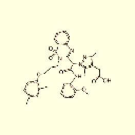 COc1ccccc1NC(=O)C(C1=Nc2ccccc2S(=O)(=O)N1CCCOc1ccc(C)cc1C)n1nc(C)c(CC(=O)O)c1C